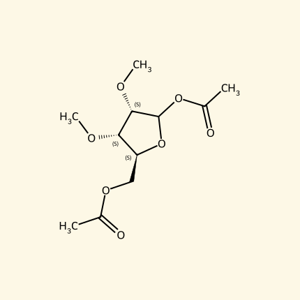 CO[C@H]1[C@H](COC(C)=O)OC(OC(C)=O)[C@H]1OC